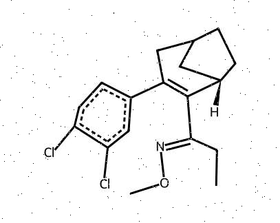 CCC(=NOC)C1=C(c2ccc(Cl)c(Cl)c2)CC2CC[C@H]1C2